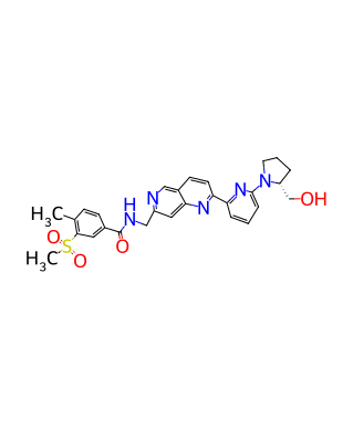 Cc1ccc(C(=O)NCc2cc3nc(-c4cccc(N5CCC[C@@H]5CO)n4)ccc3cn2)cc1S(C)(=O)=O